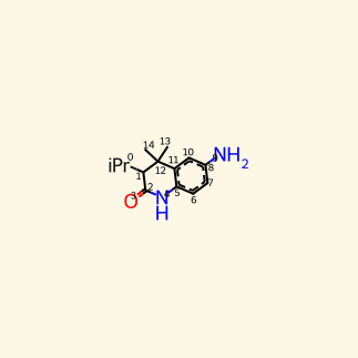 CC(C)C1C(=O)Nc2ccc(N)cc2C1(C)C